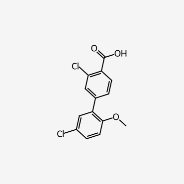 COc1ccc(Cl)cc1-c1ccc(C(=O)O)c(Cl)c1